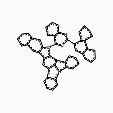 c1ccc2cc3c(cc2c1)c1cc2c4ccccc4n4c5ccccc5c(c1n3-c1nc(-c3cc5ccccc5c5ccccc35)nc3ccccc13)c24